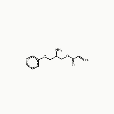 C=CC(=O)OCC(N)COc1ccccc1